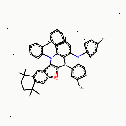 Cc1cc2c3c(c1)N(c1ccccc1-c1ccccc1)c1c(oc4cc5c(cc14)C(C)(C)CCC5(C)C)B3c1cc(C(C)(C)C)ccc1N2c1ccc(C(C)(C)C)cc1